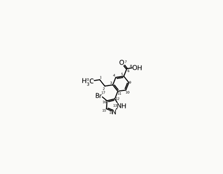 CCCc1cc(C(=O)O)ccc1-c1[nH]ncc1Br